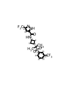 CC(C)([C@H]1C[C@@H](NC(=O)c2cc(C(F)(F)F)n[nH]2)C1)S(=O)(=O)c1cccc(C(F)(F)F)c1